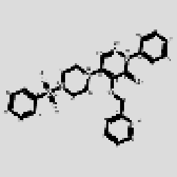 O=c1c(OCc2ccccn2)c(N2CCN(S(=O)(=O)c3ccccc3)CC2)cnn1-c1ccccc1